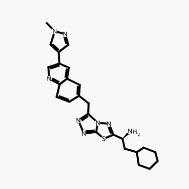 Cn1cc(-c2cnc3ccc(Cc4nnc5sc([C@@H](N)CC6CCCCC6)nn45)cc3c2)cn1